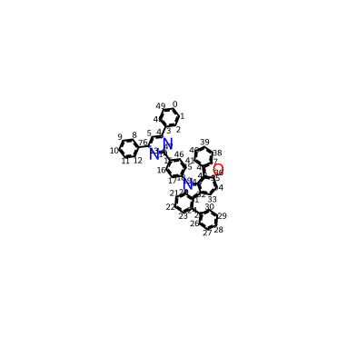 c1ccc(-c2cc(-c3ccccc3)nc(-c3ccc(-n4c5cccc(-c6ccccc6)c5c5ccc6oc7ccccc7c6c54)cc3)n2)cc1